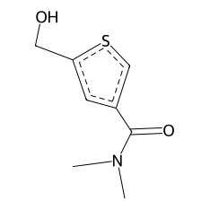 CN(C)C(=O)c1csc(CO)c1